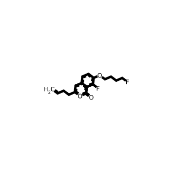 C=CCCc1cc2ccc(OCCCCF)c(F)c2c(=O)o1